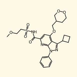 COCCS(=O)(=O)NC(=O)c1cc(OCC2CCOOC2)c2c(C3CCC3)nn(-c3ccccc3)c2n1